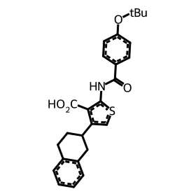 CC(C)(C)Oc1ccc(C(=O)Nc2scc(C3CCc4ccccc4C3)c2C(=O)O)cc1